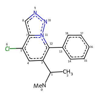 CNC(C)c1cc(Cl)c2cnnn2c1-c1ccccc1